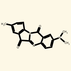 Cc1ccc2c(c1)C(=O)c1nc3ccc(N(C)C)cc3c(=O)n1-2